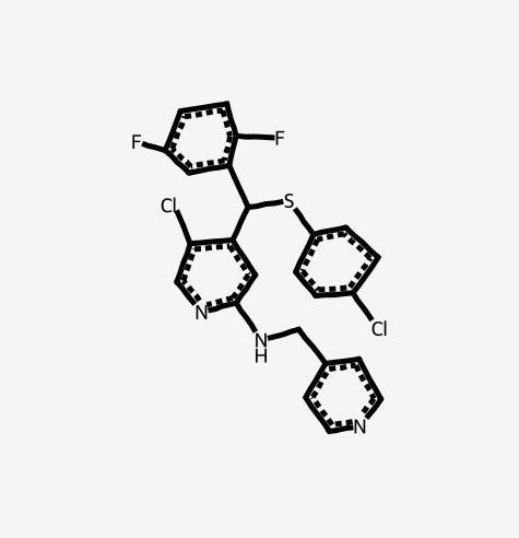 Fc1ccc(F)c(C(Sc2ccc(Cl)cc2)c2cc(NCc3ccncc3)ncc2Cl)c1